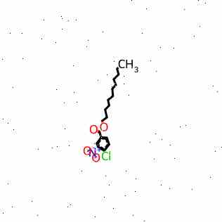 CCCCCCCCCCCCOC(=O)c1ccc(Cl)c([N+](=O)[O-])c1